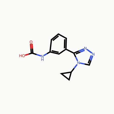 O=C(O)Nc1cccc(-c2nncn2C2CC2)c1